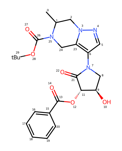 CC1Cn2ncc(N3C[C@@H](O)[C@H](OC(=O)c4ccccc4)C3=O)c2CN1C(=O)OC(C)(C)C